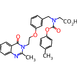 Cc1ccc(OC(=O)N(CC(=O)O)Cc2cccc(OCCn3c(C)nc4ccccc4c3=O)c2)cc1